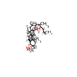 CCCCC(C)C[C@H](O)[C@@H](C)[C@H]1CC[C@H]2[C@@H]3CC=C4C[C@](O)(CC)CC[C@]4(C)[C@H]3CC[C@]12C